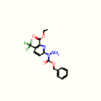 CCOC(=O)c1nc(N(N)C(=O)OCc2ccccc2)ccc1C(F)(F)F